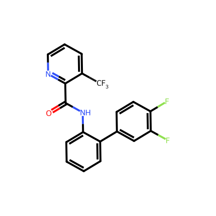 O=C(Nc1ccccc1-c1ccc(F)c(F)c1)c1ncccc1C(F)(F)F